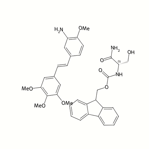 COc1ccc(C=Cc2cc(OC)c(OC)c(OC)c2)cc1N.NC(=O)[C@H](CO)NC(=O)OCC1c2ccccc2-c2ccccc21